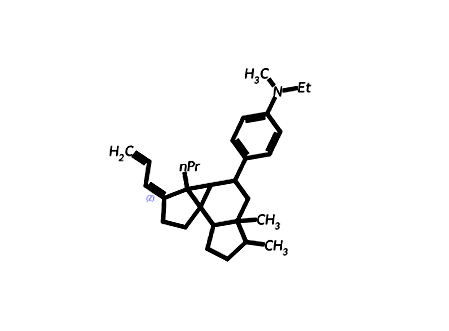 C=C/C=C1/CCC23C4CCC(C)C4(C)CC(c4ccc(N(C)CC)cc4)C2C13CCC